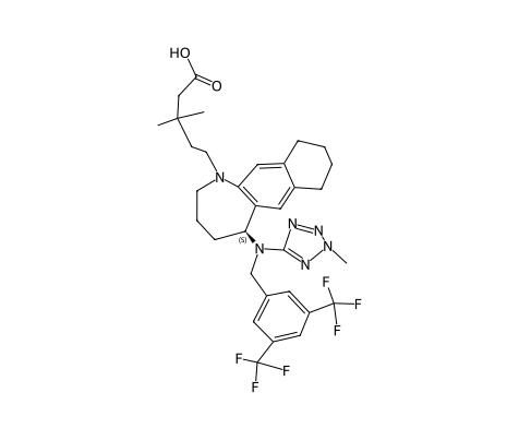 Cn1nnc(N(Cc2cc(C(F)(F)F)cc(C(F)(F)F)c2)[C@H]2CCCN(CCC(C)(C)CC(=O)O)c3cc4c(cc32)CCCC4)n1